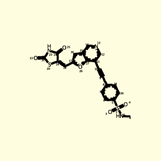 CNS(=O)(=O)c1ccc(C#Cc2cncc3cc(C=C4SC(=O)NC4=O)oc23)cc1